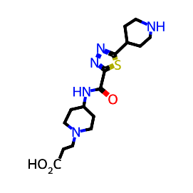 O=C(O)CCN1CCC(NC(=O)c2nnc(C3CCNCC3)s2)CC1